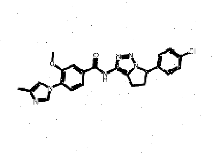 COc1cc(C(=O)Nc2nnn3c2CCC3c2ccc(Cl)cc2)ccc1-n1cnc(C)c1